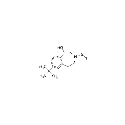 CC(C)(C)c1ccc2c(c1)CCN(SI)CC2O